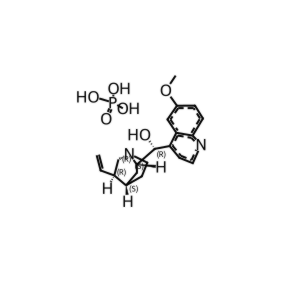 C=C[C@H]1C[N@]2CC[C@H]1C[C@H]2[C@H](O)c1ccnc2ccc(OC)cc12.O=P(O)(O)O